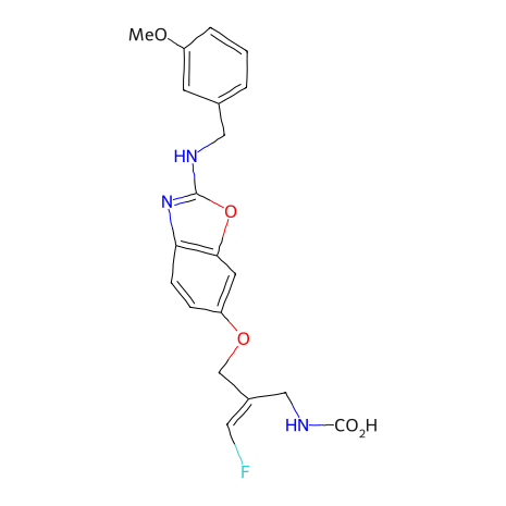 COc1cccc(CNc2nc3ccc(OCC(=CF)CNC(=O)O)cc3o2)c1